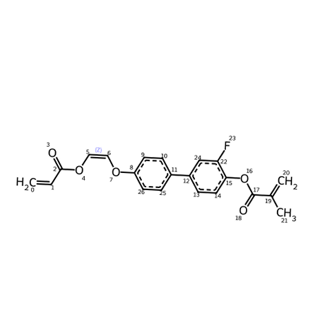 C=CC(=O)O/C=C\Oc1ccc(-c2ccc(OC(=O)C(=C)C)c(F)c2)cc1